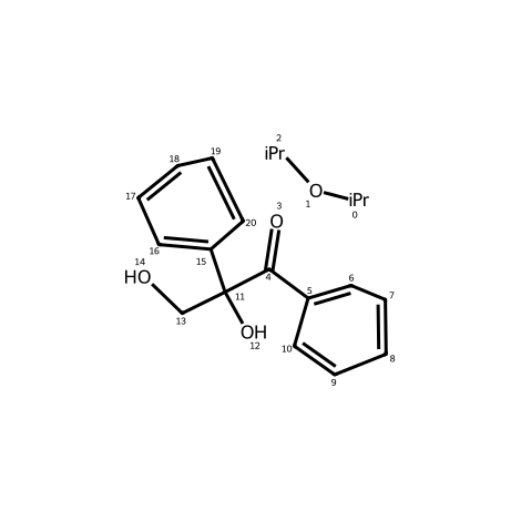 CC(C)OC(C)C.O=C(c1ccccc1)C(O)(CO)c1ccccc1